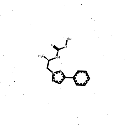 C[C@H](Cn1ccc(-c2ccccc2)n1)NC(=O)OC(C)(C)C